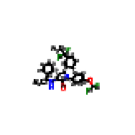 C[C@@H](NC1=C[C@H](c2cccc(C(C)(F)F)c2)N(c2ccc(OC(F)F)cc2)C1=O)c1ccccc1